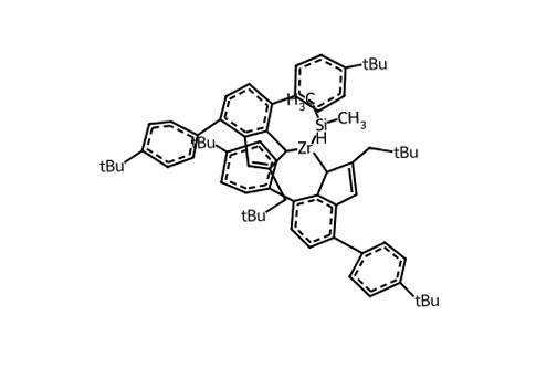 C[SiH](C)[Zr]([CH]1C(CC(C)(C)C)=Cc2c(-c3ccc(C(C)(C)C)cc3)ccc(-c3ccc(C(C)(C)C)cc3)c21)[CH]1C(CC(C)(C)C)=Cc2c(-c3ccc(C(C)(C)C)cc3)ccc(-c3ccc(C(C)(C)C)cc3)c21